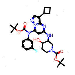 CC(C)(C)OC(=O)N1CCC(O)C(Nc2cc(N(C(=O)OC(C)(C)C)c3cccc(F)c3)n3ncc(C4CCC4)c3n2)C1